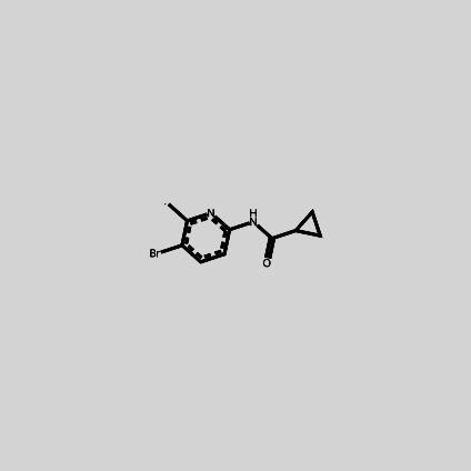 [CH2]c1nc(NC(=O)C2CC2)ccc1Br